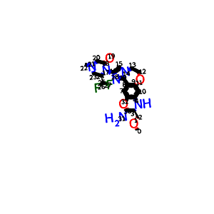 COC[C@H](Nc1ccc2c(c1)OCCn1cc(N3C(=O)CN(C)C[C@H]3C(F)F)nc1-2)C(N)=O